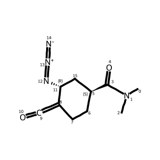 CN(C)C(=O)[C@H]1CCC(=C=O)[C@H](N=[N+]=[N-])C1